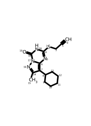 C#CCSc1nc2c(C3CCCCC3)c(C)nn2c(=O)[nH]1